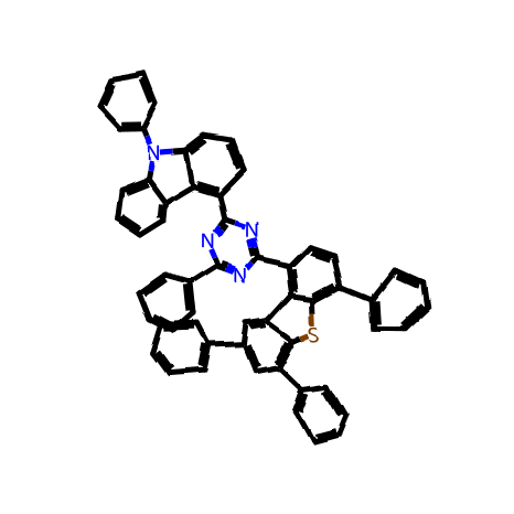 c1ccc(-c2cc(-c3ccccc3)c3sc4c(-c5ccccc5)ccc(-c5nc(-c6ccccc6)nc(-c6cccc7c6c6ccccc6n7-c6ccccc6)n5)c4c3c2)cc1